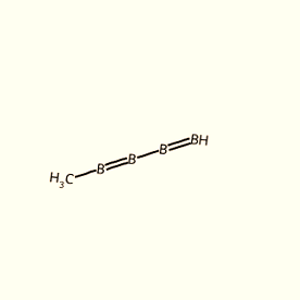 B=BB=BC